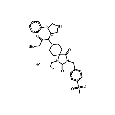 CC(C)CN1C(=O)N(Cc2ccc(S(C)(=O)=O)cc2)C(=O)C12CCN(C(C(=O)CC(C)(C)C)[C@@H]1CNC[C@@H]1c1ccccc1)CC2.Cl